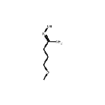 COCCC/C(N)=N/O